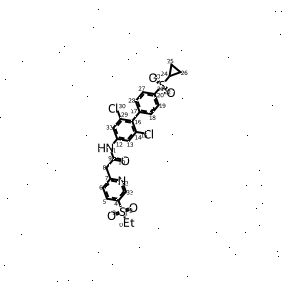 CCS(=O)(=O)c1ccc(CC(=O)Nc2cc(Cl)c(-c3ccc(S(=O)(=O)C4CC4)cc3)c(Cl)c2)nc1